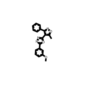 COc1cccc(-c2nnc(-c3c(-c4ccccc4)noc3C)o2)c1